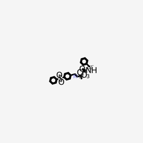 C[C@H](NC(=O)O[C@@](C)(/C=C/c1ccc(S(=O)(=O)c2ccccc2)cc1)C(F)(F)F)c1ccccc1